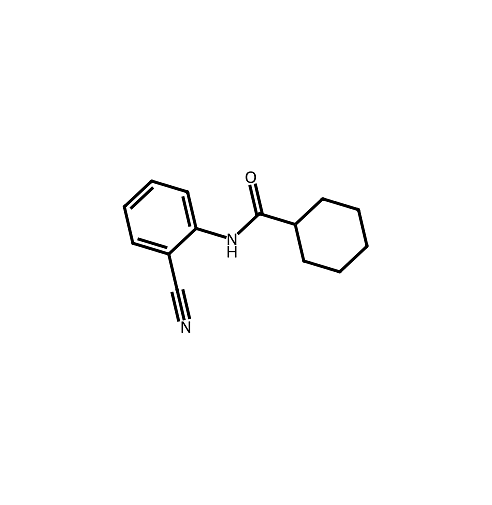 N#Cc1ccccc1NC(=O)C1CCCCC1